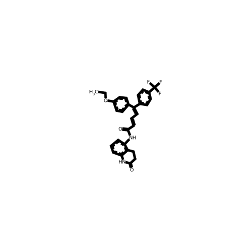 CCOc1ccc(C(=CC=CC(=O)Nc2cccc3c2CCC(=O)N3)c2ccc(C(F)(F)F)cc2)cc1